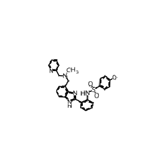 CN(Cc1ccccn1)Cc1cccc2[nH]c(-c3ccccc3NS(=O)(=O)c3ccc([O])cc3)nc12